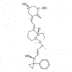 C=C1/C(=C\C=C2/CCC[C@]3(C)[C@@H]([C@H](C)/C=C/[C@H](O)C4(c5ccccc5)CC4)CC[C@@H]23)C[C@@H](O)C[C@@H]1O